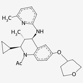 CC(=O)N1c2ccc(OC3CCOCC3)cc2[C@H](Nc2cccc(C)n2)[C@@H](C)[C@@H]1C1CC1